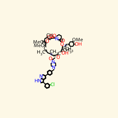 CO[C@H]1C[C@@H](C)C/C(C)=C/[C@@H](CC(=O)N2CCN(Cc3ccc(-c4cnc5[nH]cc(-c6cccc(Cl)c6)c5c4)cc3)CC2)C(=O)C[C@H](O)[C@@H](C)[C@@H](/C(C)=C/[C@@H]2CC[C@@H](O)[C@H](OC)C2)OC(=O)[C@@H]2CCCCN2C(=O)C(=O)[C@]2(O)O[C@H]1[C@@H](OC)C[C@H]2C